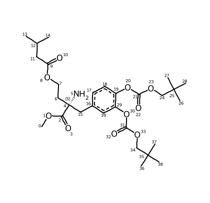 COC(=O)[C@@](N)(CCOC(=O)CC(C)C)Cc1ccc(OC(=O)OCC(C)(C)C)c(OC(=O)OCC(C)(C)C)c1